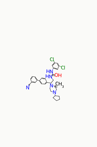 C[C@H]1CN(C2CCCC2)CCN1C(CN[C@@H](O)Nc1cc(Cl)cc(Cl)c1)c1ccc(-c2cccc(C#N)c2)cc1